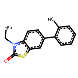 CC(C)(C)Cn1c(=O)sc2cc(-c3ccccc3C#N)ccc21